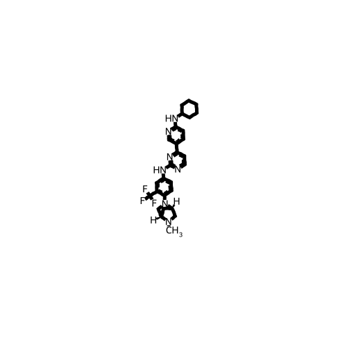 CN1C[C@@H]2C[C@H]1CN2c1ccc(Nc2nccc(-c3ccc(NC4CCCCC4)nc3)n2)cc1C(F)(F)F